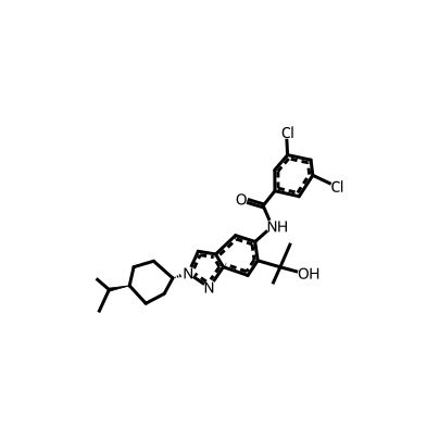 CC(C)[C@H]1CC[C@H](n2cc3cc(NC(=O)c4cc(Cl)cc(Cl)c4)c(C(C)(C)O)cc3n2)CC1